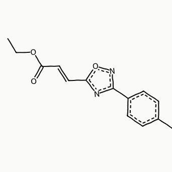 CCOC(=O)/C=C/c1nc(-c2ccc(C)cc2)no1